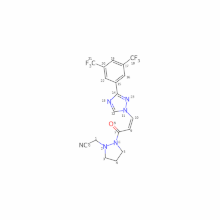 N#CCN1CCCN1C(=O)/C=C\n1cnc(-c2cc(C(F)(F)F)cc(C(F)(F)F)c2)n1